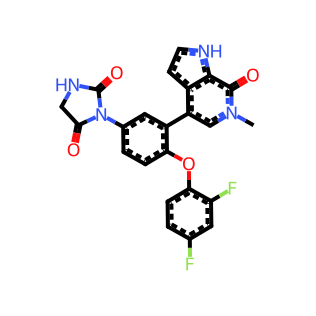 Cn1cc(-c2cc(N3C(=O)CNC3=O)ccc2Oc2ccc(F)cc2F)c2cc[nH]c2c1=O